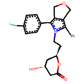 CC(C)c1c2c(c(-c3ccc(F)cc3)n1CC[C@@H]1C[C@@H](O)CC(=O)O1)COC2